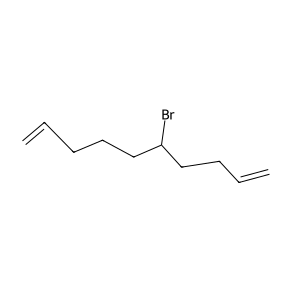 C=CCCCC(Br)CCC=C